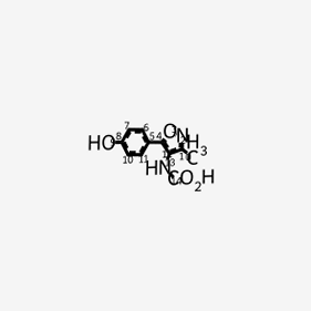 Cc1noc(-c2ccc(O)cc2)c1NC(=O)O